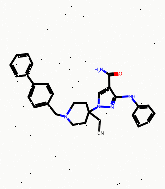 N#CCC1(n2cc(C(N)=O)c(Nc3ccccc3)n2)CCN(Cc2ccc(-c3ccccc3)cc2)CC1